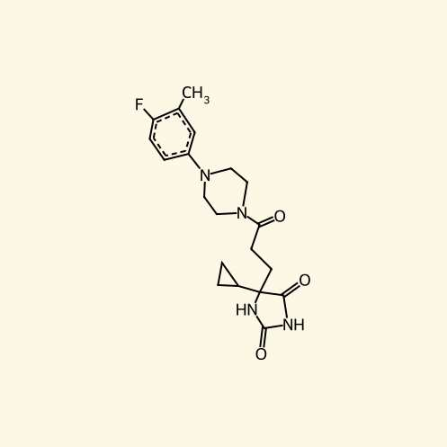 Cc1cc(N2CCN(C(=O)CCC3(C4CC4)NC(=O)NC3=O)CC2)ccc1F